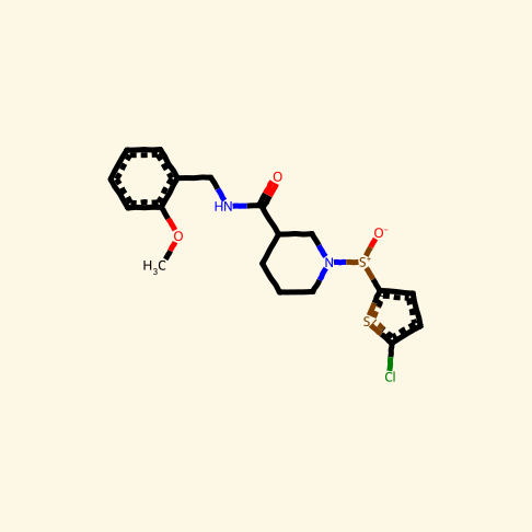 COc1ccccc1CNC(=O)C1CCCN([S+]([O-])c2ccc(Cl)s2)C1